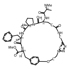 CN[C@@H](C)C(=O)N[C@H]1CCC(=O)NCc2cn(nn2)CCOc2ccc(cc2)C[C@@H](C(=O)OC)NC(=O)[C@H](Cc2ccccc2)NC(=O)[C@@H]2CCCN2C1=O